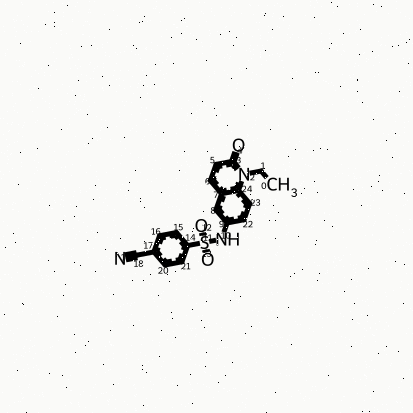 CCn1c(=O)ccc2cc(NS(=O)(=O)c3ccc(C#N)cc3)ccc21